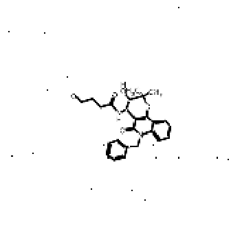 CC1(C)Oc2c(c(=O)n(Cc3ccccc3)c3ccccc23)C(NC(=O)CCCCl)C1O